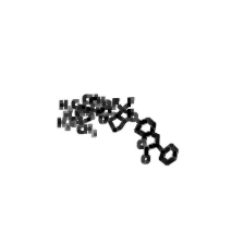 CC(C)(C)CC(C)(C(=O)OC1CCC(Oc2ccc3cc(-c4ccccc4)c(=O)oc3c2)C1(C)C(F)(F)F)C(C)(C)C